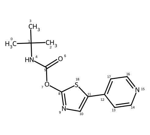 CC(C)(C)NC(=O)Oc1ncc(-c2ccncc2)s1